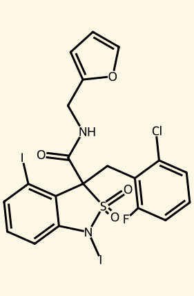 O=C(NCc1ccco1)C1(Cc2c(F)cccc2Cl)c2c(I)cccc2N(I)S1(=O)=O